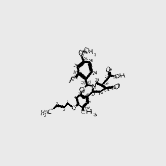 CCCCOc1cc2c(cc1C)-c1cc(=O)c(C(=O)O)cn1C(c1ccc(OC)cc1F)O2